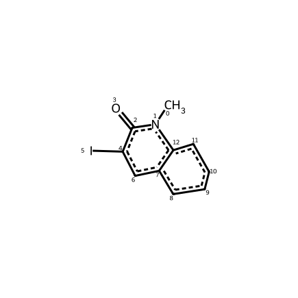 Cn1c(=O)c(I)cc2ccccc21